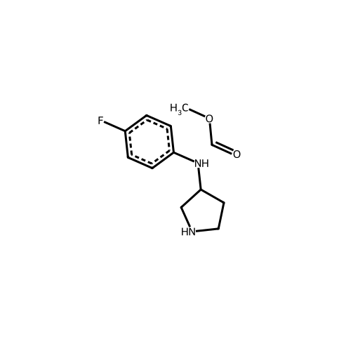 COC=O.Fc1ccc(NC2CCNC2)cc1